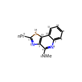 CCCc1nc2c(NC)nc3ccccc3c2s1